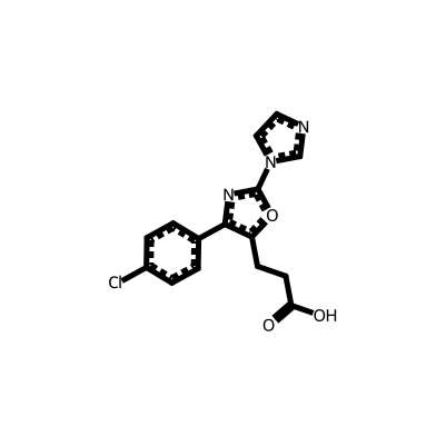 O=C(O)CCc1oc(-n2ccnc2)nc1-c1ccc(Cl)cc1